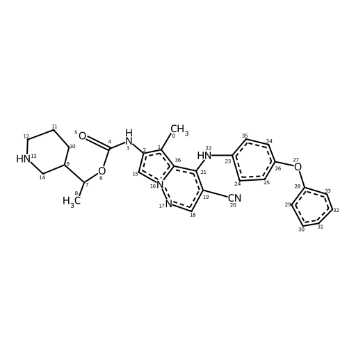 Cc1c(NC(=O)OC(C)C2CCCNC2)cn2ncc(C#N)c(Nc3ccc(Oc4ccccc4)cc3)c12